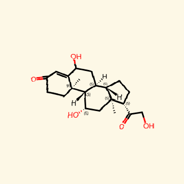 C[C@]12C[C@H](O)[C@H]3[C@@H](CC(O)C4=CC(=O)CC[C@@]43C)[C@@H]1CC[C@@H]2C(=O)CO